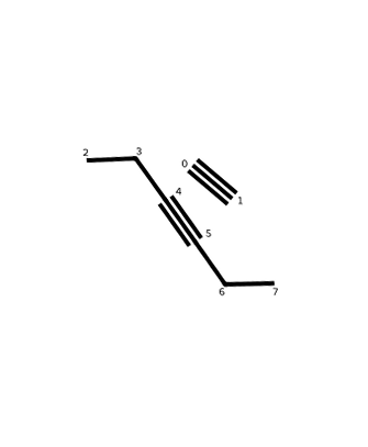 C#C.CCC#CCC